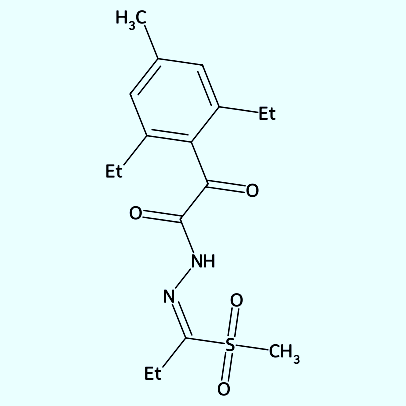 CCC(=NNC(=O)C(=O)c1c(CC)cc(C)cc1CC)S(C)(=O)=O